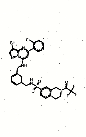 Bc1cnn2c(NCC3=CC=CC(CNS(=O)(=O)c4ccc5c(c4)CN(C(=O)C(F)(F)F)CC5)C3)cc(-c3ccccc3Cl)nc12